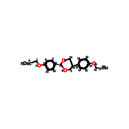 CCCCCCCCCCCOc1ccc([C@H]2OC[C@H](c3ccc(OC[C@@H](C)CC)cc3)CO2)cc1